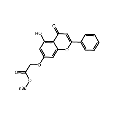 CCCCOC(=O)COc1cc(O)c2c(=O)cc(-c3ccccc3)oc2c1